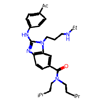 CCNCCCn1c(Nc2ccc(C(C)=O)cc2)nc2ccc(C(=O)N(CCC(C)C)CCC(C)C)cc21